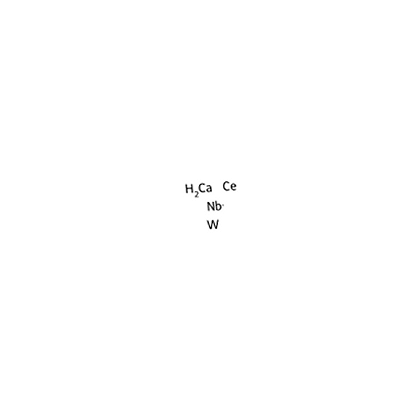 [CaH2].[Ce].[Nb].[W]